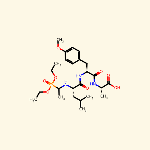 CCOP(=O)(OCC)C(C)N[C@@H](CC(C)C)C(=O)N[C@@H](Cc1ccc(OC)cc1)C(=O)N[C@@H](C)C(=O)O